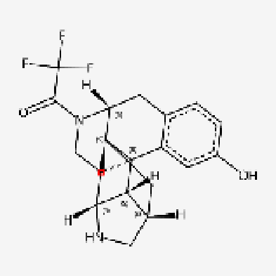 O=C(N1CC[C@@]23c4cc(O)ccc4C[C@@H]1[C@]21CC[C@H]2NC[C@@H](C1)[C@H]23)C(F)(F)F